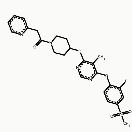 Cc1c(Oc2ccc(S(C)(=O)=O)cc2F)ncnc1OC1CCN(C(=O)Cc2ccccn2)CC1